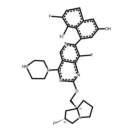 CCc1c(F)ccc2cc(O)cc(-c3ncc4c(N5CCNCC5)nc(OC[C@@]56CCCN5C[C@H](F)C6)nc4c3F)c12